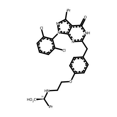 CC(C)c1nn(-c2c(Cl)cccc2Cl)c2nc(Cc3ccc(OCCN[C@H](C(=O)O)C(C)C)cc3)[nH]c(=O)c12